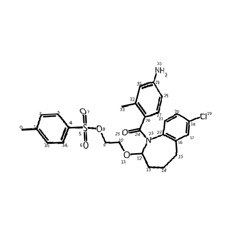 Cc1ccc(S(=O)(=O)OCCOC2CCCc3cc(Cl)ccc3N2C(=O)c2ccc(N)cc2C)cc1